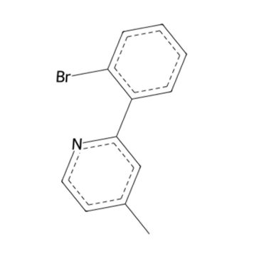 Cc1ccnc(-c2ccccc2Br)c1